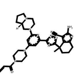 C=CC(=O)N1CCN(c2cc(-c3noc(C4(C)CCCc5sc(N)c(C#N)c54)n3)nc(N3CCN4CCC[C@H]4C3)c2)CC1